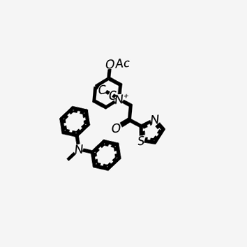 CC(=O)OC1C[N+]2(CC(=O)c3nccs3)CCC1CC2.CN(c1ccccc1)c1ccccc1